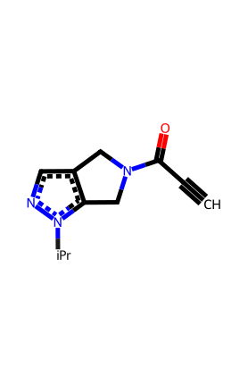 C#CC(=O)N1Cc2cnn(C(C)C)c2C1